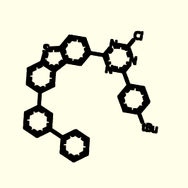 CC(C)(C)c1ccc(-c2nc(Cl)nc(-c3ccc4sc5ccc(-c6cccc(-c7ccccc7)c6)cc5c4c3)n2)cc1